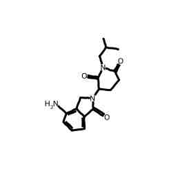 CC(C)CN1C(=O)CCC(N2Cc3c(N)cccc3C2=O)C1=O